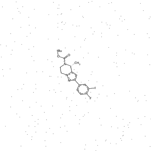 C[C@@H]1c2cc(-c3ccc(F)c(I)c3)nn2CCN1C(=O)OC(C)(C)C